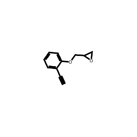 C#Cc1ccccc1OCC1CO1